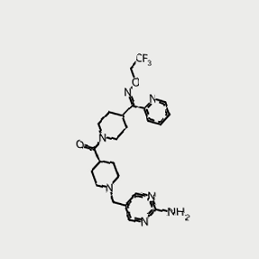 Nc1ncc(CN2CCC(C(=O)N3CCC(/C(=N/OCC(F)(F)F)c4ccccn4)CC3)CC2)cn1